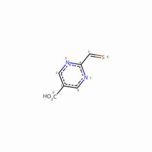 O=C(O)c1cnc(C=S)nc1